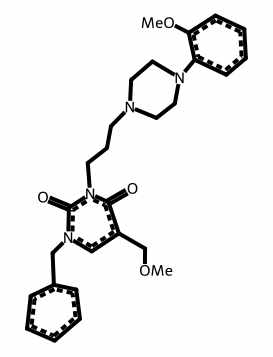 COCc1cn(Cc2ccccc2)c(=O)n(CCCN2CCN(c3ccccc3OC)CC2)c1=O